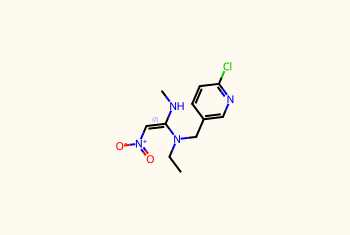 CCN(Cc1ccc(Cl)nc1)/C(=C\[N+](=O)[O-])NC